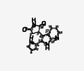 O=C1CC(c2c(-c3ccc[nH]3)[nH]c3ncccc23)C(=O)N1